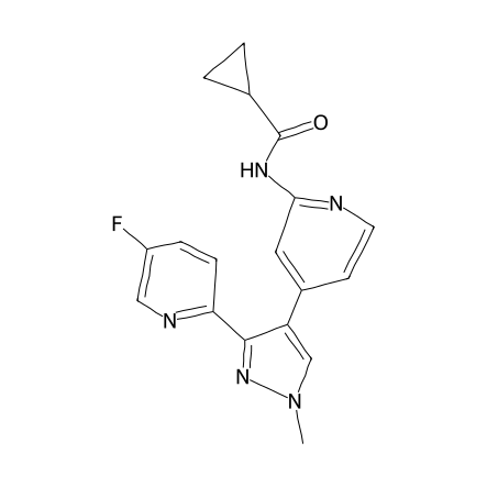 Cn1cc(-c2ccnc(NC(=O)C3CC3)c2)c(-c2ccc(F)cn2)n1